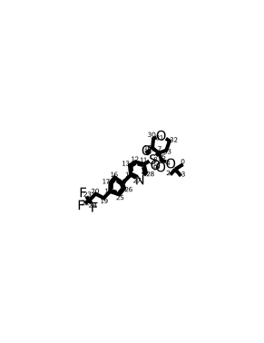 CC(C)(C)OC(=O)C1(S(=O)(=O)c2ccc(-c3ccc(CCC(F)(F)F)cc3)nc2)CCOCC1